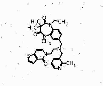 CCN1C(=O)C(C)(C)C(=O)N(C)c2cc(CN(CCn3ccc4sccc4c3=O)Cc3cccnc3C)ccc21